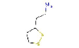 NCCC1CCSS1